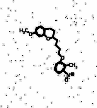 COc1ccc2c(c1)OC(C[CH]CCOc1cccc([N+](=O)[O-])c1C)CC2